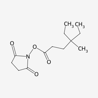 CCC(C)(CC)CCC(=O)ON1C(=O)CCC1=O